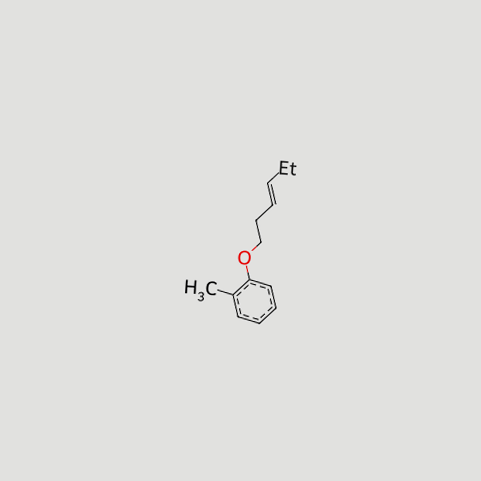 CCC=CCCOc1ccccc1C